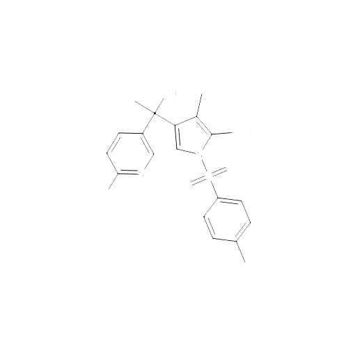 CCOC(=O)c1c(C)c(C(C)(O)c2ccc(C(F)(F)F)nc2)cn1S(=O)(=O)c1ccc(C)cc1